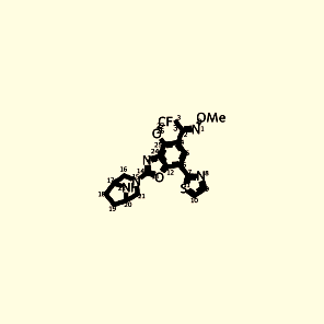 CO/N=C(\C)c1cc(-c2nccs2)c2oc(N3CC4CCC(C3)N4)nc2c1OC(F)(F)F